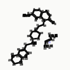 COc1ccc2ncc(=O)n(CCN3CCC(NCc4cc5c(nn4)OCCO5)CC3)c2n1.O=C(O)/C=C/C(=O)O